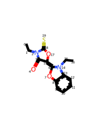 CCN1C(=O)/C(=C2\Oc3ccccc3N2CC)OC1=S